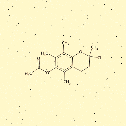 CC(=O)Oc1c(C)c(C)c2c(c1C)CCC(C)(Cl)O2